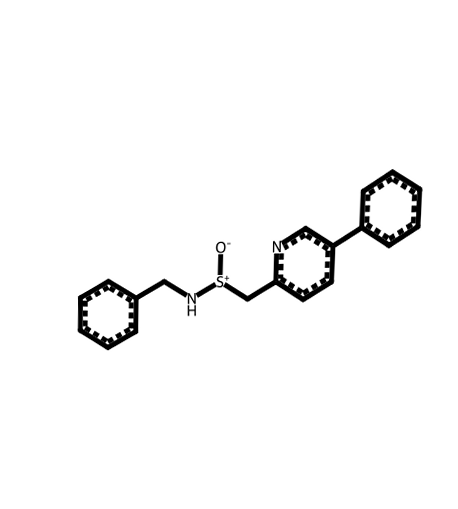 [O-][S+](Cc1ccc(-c2ccccc2)cn1)NCc1ccccc1